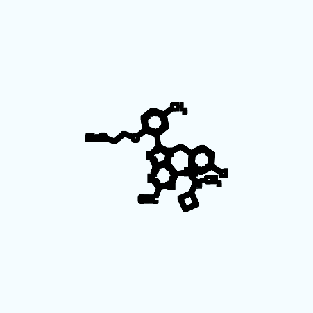 COCCOc1ccc(C)cc1-c1nc2nc(C=O)nc(N[C@H](C)C3CCC3)c2n1Cc1ccc(Cl)cc1